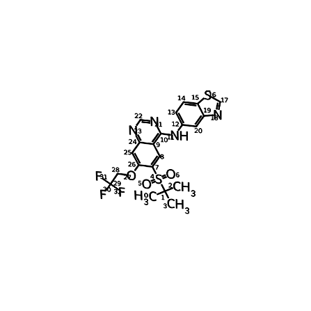 CC(C)(C)S(=O)(=O)c1cc2c(Nc3ccc4scnc4c3)ncnc2cc1OCC(F)(F)F